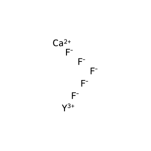 [Ca+2].[F-].[F-].[F-].[F-].[F-].[Y+3]